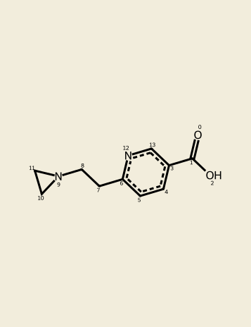 O=C(O)c1ccc(CCN2CC2)nc1